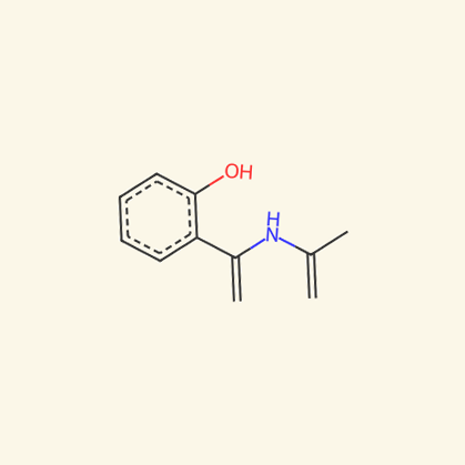 C=C(C)NC(=C)c1ccccc1O